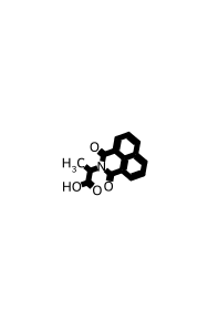 CC(C(=O)O)N1C(=O)c2cccc3cccc(c23)C1=O